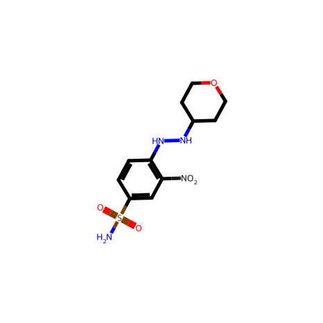 NS(=O)(=O)c1ccc(NNC2CCOCC2)c([N+](=O)[O-])c1